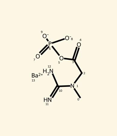 CN(CC(=O)OP(=O)([O-])[O-])C(=N)N.[Ba+2]